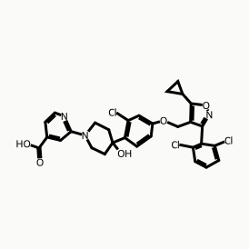 O=C(O)c1ccnc(N2CCC(O)(c3ccc(OCc4c(-c5c(Cl)cccc5Cl)noc4C4CC4)cc3Cl)CC2)c1